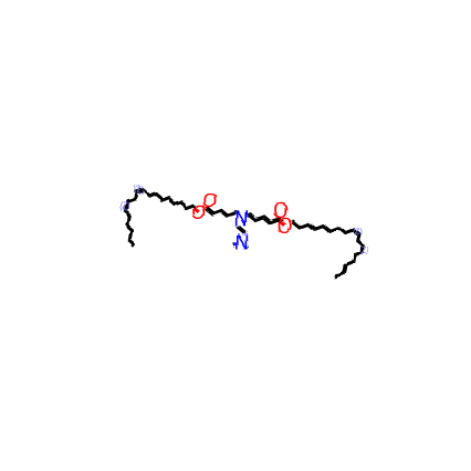 CCCCC/C=C\C/C=C\CCCCCCCCOC(=O)CCCCN(CCCCC(=O)OCCCCCCCC/C=C\C/C=C\CCCCC)CCN(C)C